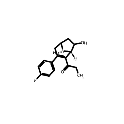 CCC(=O)C1=C(c2ccc(F)cc2)CC2CC(O)[C@H]1N2C